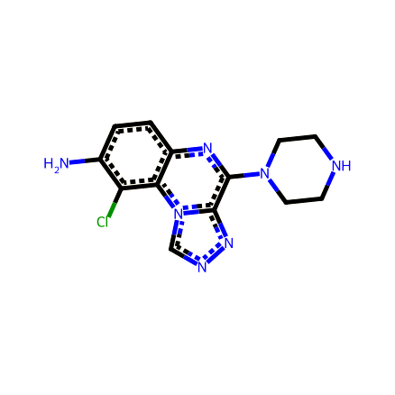 Nc1ccc2nc(N3CCNCC3)c3nncn3c2c1Cl